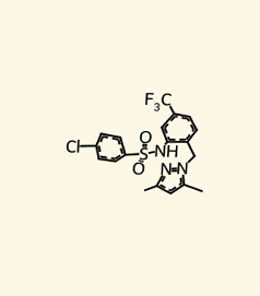 Cc1cc(C)n(Cc2ccc(C(F)(F)F)cc2NS(=O)(=O)c2ccc(Cl)cc2)n1